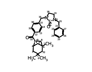 CC1(C)CC2CC(C)(CN2C(=O)c2ccc(CN3CCN(Cc4ccccc4)[S+]3[O-])cc2)C1